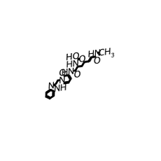 CNC(=O)/C=C/CCC(NC(=O)O)C(=O)Nc1cccn(Cc2nc3ccccc3[nH]2)c1=O